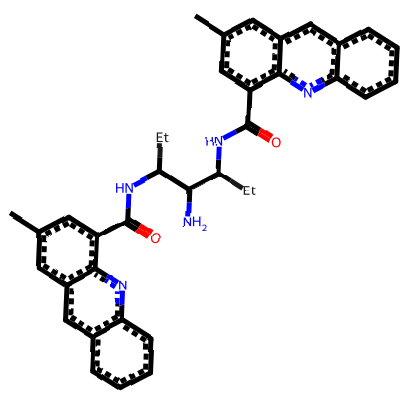 CCC(NC(=O)c1cc(C)cc2cc3ccccc3nc12)C(N)C(CC)NC(=O)c1cc(C)cc2cc3ccccc3nc12